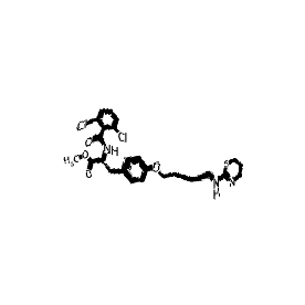 COC(=O)[C@H](Cc1ccc(OCCCCNC2=NCCCS2)cc1)NC(=O)c1c(Cl)cccc1Cl